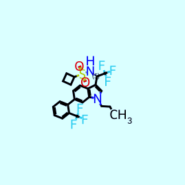 CCCn1cc([C@H](NS(=O)(=O)C2CCC2)C(F)(F)F)c2ccc(-c3ccccc3C(F)(F)F)cc21